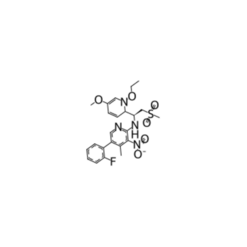 CCON1C=C(OC)C=CC1[C@@H](CS(C)(=O)=O)Nc1ncc(-c2ccccc2F)c(C)c1[N+](=O)[O-]